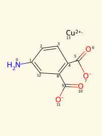 Nc1ccc(C(=O)[O-])c(C(=O)[O-])c1.[Cu+2]